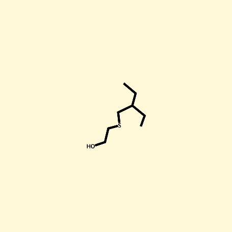 CCC(CC)CSCCO